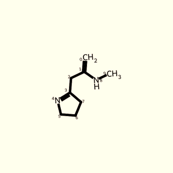 C=C(CC1=NCCC1)NC